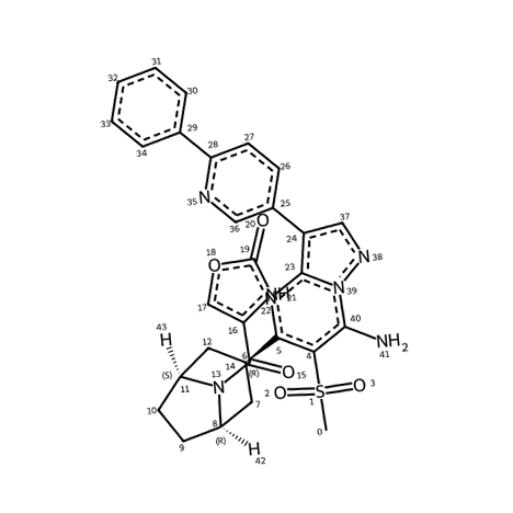 CS(=O)(=O)c1c([C@H]2C[C@H]3CC[C@@H](C2)N3C(=O)c2coc(=O)[nH]2)nc2c(-c3ccc(-c4ccccc4)nc3)cnn2c1N